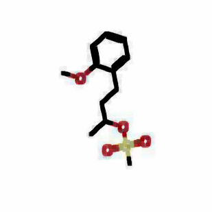 COc1ccccc1CCC(C)OS(C)(=O)=O